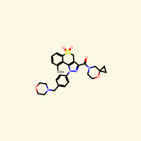 COc1cccc2c1-c1c(c(C(=O)N3CCOC4(CC4)C3)nn1-c1ccc(CN3CCOCC3)cc1)CS2(=O)=O